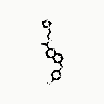 O=C(NCCn1ccnc1)c1ccc2cc(Oc3ccc(C(F)(F)F)cn3)ccc2n1